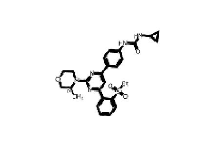 CCS(=O)(=O)c1ccccc1-c1cc(-c2ccc(NC(=O)NC3CC3)cc2)nc(N2CCOC[C@@H]2C)n1